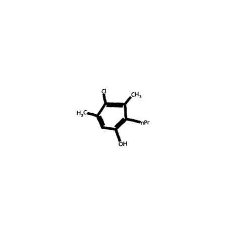 [CH2]CCc1c(O)cc(C)c(Cl)c1C